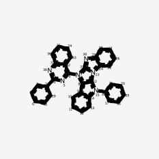 c1ccc(-c2nc(-n3c4c5ccccc5n(-c5ccccc5)c4n4c5ccccc5nc34)c3ccccc3n2)cc1